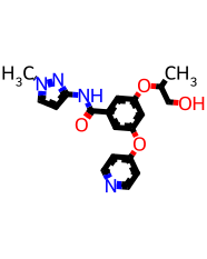 CC(CO)Oc1cc(Oc2ccncc2)cc(C(=O)Nc2ccn(C)n2)c1